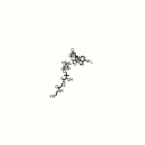 CC(C)(COP(=O)(O)OP(=O)(O)OC[C@H]1O[C@@H](N2CN=C3C(N)=NC=NC32C(=O)C=CCC=O)[C@H](O)[C@@H]1OP(=O)(O)O)[C@@H](O)C(=O)NCCC(=O)NCCS